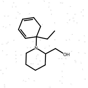 CCC1(N2CCCCC2CO)C=CC=CC1